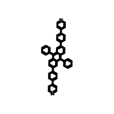 c1ccc(-c2c3ccc(-c4ccc(-c5ccncc5)cc4)cc3c(-c3ccccc3)c3ccc(-c4ccc(-c5ccncc5)cc4)cc23)cc1